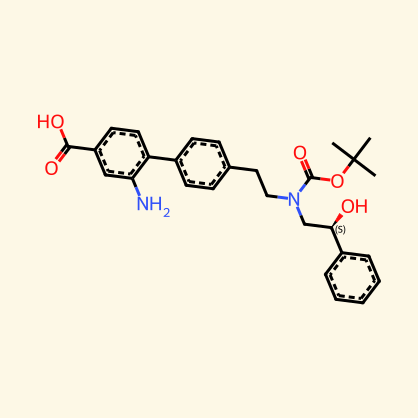 CC(C)(C)OC(=O)N(CCc1ccc(-c2ccc(C(=O)O)cc2N)cc1)C[C@@H](O)c1ccccc1